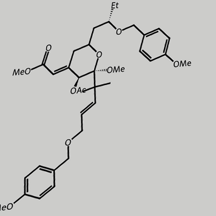 CC[C@@H](CC1C/C(=C\C(=O)OC)[C@H](OC(C)=O)[C@](OC)(C(C)(C)/C=C/COCc2ccc(OC)cc2)O1)OCc1ccc(OC)cc1